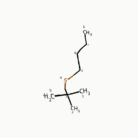 [CH2]C(C)(C)SCCCC